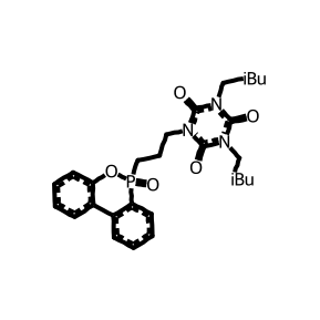 CCC(C)Cn1c(=O)n(CCCP2(=O)Oc3ccccc3-c3ccccc32)c(=O)n(CC(C)CC)c1=O